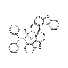 O=S1(c2ccccc2)=Nc2ccccc2C(c2ccccc2)=C1c1cccc2oc3ccc(-c4cccc5oc6ccccc6c45)cc3c12